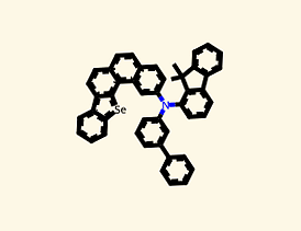 CC1(C)c2ccccc2-c2cccc(N(c3cccc(-c4ccccc4)c3)c3ccc4ccc5ccc6c7ccccc7[se]c6c5c4c3)c21